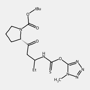 CCC(CC(=O)[C@@H]1CCCN1C(=O)OC(C)(C)C)NC(=S)Oc1nnnn1C